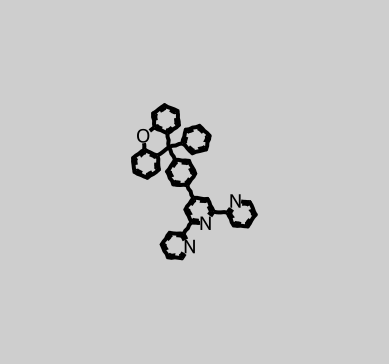 c1ccc(C2(c3ccc(-c4cc(-c5ccccn5)nc(-c5ccccn5)c4)cc3)c3ccccc3Oc3ccccc32)cc1